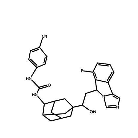 N#Cc1ccc(NC(=O)NC2C3CC4CC2CC(C(O)CC2c5c(F)cccc5-c5cncn52)(C4)C3)cc1